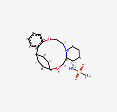 CC(C)(C)S(=O)(=O)N[C@H]1CCCN2CCOc3ccccc3C3CCC(CC3)OCC12